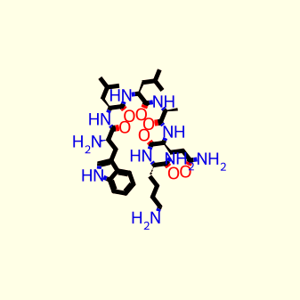 CC(C)C[C@H](NC(=O)[C@H](CC(C)C)NC(=O)[C@@H](N)Cc1c[nH]c2ccccc12)C(=O)N[C@@H](C)C(=O)N[C@@H](CCC(N)=O)C(=O)N[C@@H](CCCCN)C(N)=O